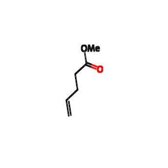 C=CCCC(=O)OC